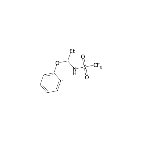 CCC(NS(=O)(=O)C(F)(F)F)Oc1[c]cccc1